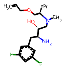 C=CCOC[C@@H](CCC)N(C)C[C@@H](O)[C@@H](N)Cc1cc(F)cc(F)c1